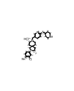 C[C@H]1CC2(CCN(Cc3ccc(SC4CCNCC4)nc3)CC2)CN1c1ccc(C#N)c(Cl)c1.Cl